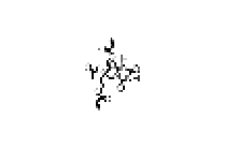 C=CC(=O)OCCC(CCOC(=O)C=C)(Cn1c(=O)[nH]c(=O)[nH]c1=O)OC(C)=O